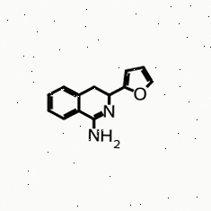 NC1=NC(c2ccco2)Cc2ccccc21